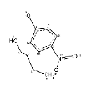 CCCCO.[O]c1ccc([N+](=O)[O-])cc1